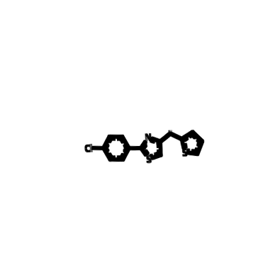 Clc1ccc(-c2nc([C]c3cccs3)cs2)cc1